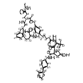 CNC(=O)CC[C@H](NC[C@@H]1Cc2cccc3c2N1C(=O)[C@@H](N)CC3)[C@@H](C)OCc1ccc(CCCCC(=O)N[C@H](C(=O)N2C[C@H](O)C[C@H]2C(=O)NCc2ccc(-c3scnc3C)cc2)C(C)(C)C)cc1